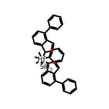 [CH3][Hf]([CH3])([CH3])(=[SiH2])([c]1ccccc1)([CH]1C=Cc2c(-c3ccccc3)cccc21)[CH]1C=Cc2c(-c3ccccc3)cccc21